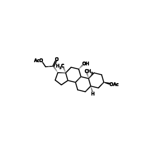 CC(=O)OCC(=O)[C@H]1CCC2C3CC[C@@H]4C[C@H](OC(C)=O)CC[C@]4(C)C3[C@@H](O)C[C@@]21C